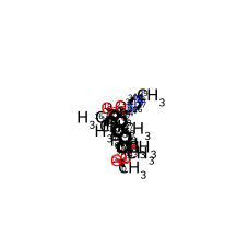 CC(=O)O[C@H]1CCC2(C)[C@H]3CC[C@@H]4C5=C(C(C)C)C(=O)C[C@]5(C(=O)CN5CCN(C)CC5)CC[C@@]4(C)[C@]3(C)CC[C@H]2C1(C)C